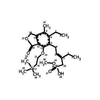 CC/C(=C\Cc1c(CC)c(C)c2c(c1OCC[Si](C)(C)C)C(=O)OC2)CP(=O)(O)OC